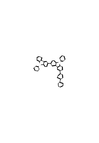 C1=CCCC(c2ccc(-c3ccc4c(c3)c3cc(-c5ccc6c(c5)c5ccccc5n6C5=CC=CCC5)ccc3n4-c3ccccc3)cc2)=C1